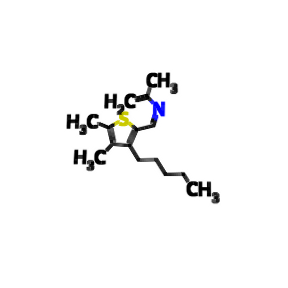 C=C(C)/N=C\c1sc(C)c(C)c1CCCCC